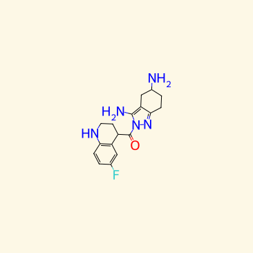 Nc1c2c(nn1C(=O)C1CCNc3ccc(F)cc31)CCC(N)C2